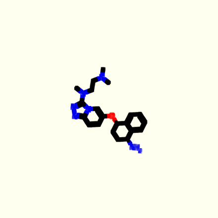 CN(C)CCN(C)c1nnc2ccc(O[C@@H]3CC[C@H](N)c4ccccc43)cn12